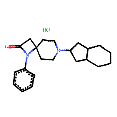 Cl.O=C1CC2(CCN(C3CC4CCCCC4C3)CC2)N1c1ccccc1